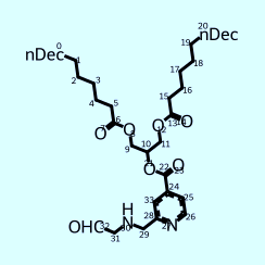 CCCCCCCCCCCCCCCC(=O)OCC(COC(=O)CCCCCCCCCCCCCCC)OC(=O)c1ccnc(CNCC=O)c1